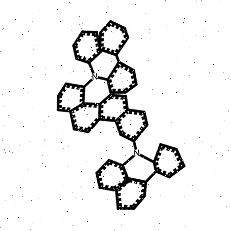 c1ccc(-c2ccccc2N(c2ccccc2)c2ccc3ccc4c(ccc5cccc(N(c6ccccc6)c6ccccc6-c6ccccc6)c54)c3c2)cc1